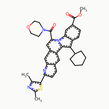 COC(=O)c1ccc2c(C3CCCCC3)c3c4cc5ccc(-c6sc(C)nc6C)nc5cc4cc(C(=O)N4CCOCC4)n3c2c1